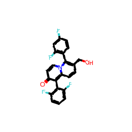 O=c1ccn2c(-c3ccc(F)cc3F)c(CO)ccc2c1-c1c(F)cccc1F